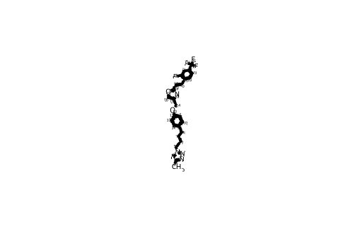 Cc1nnn(CCCCc2ccc(OCc3coc(C=Cc4ccc(C(F)(F)F)cc4F)n3)cc2)n1